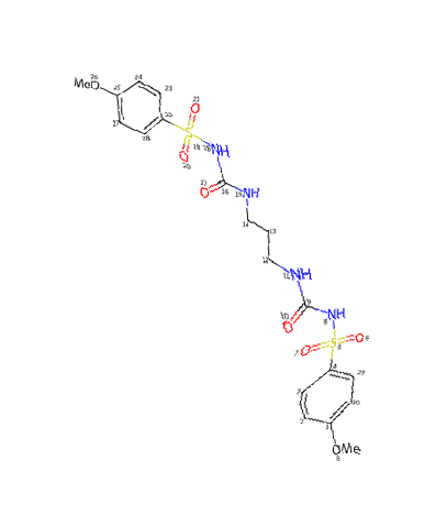 COc1ccc(S(=O)(=O)NC(=O)NCCCNC(=O)NS(=O)(=O)c2ccc(OC)cc2)cc1